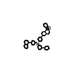 C1=CC2c3c(oc4ccccc34)C=CC2C=C1c1ccc(N(c2ccc(-c3cccc4ccccc34)cc2)c2cccc(-c3ccccc3)c2)cc1